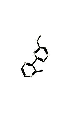 COc1[c]ncc(-c2nccnc2C)n1